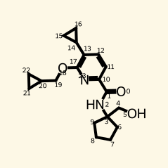 O=C(NC1(CO)CCCC1)c1ccc(C2CC2)c(OCC2CC2)n1